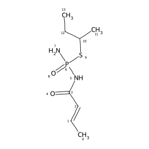 CC=CC(=O)NP(N)(=O)SC(C)CC